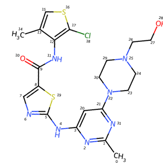 Cc1nc(Nc2ncc(C(=O)Nc3c(C)csc3Cl)s2)cc(N2CCN(CCO)CC2)n1